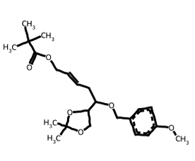 COc1ccc(COC(CC=CCOC(=O)C(C)(C)C)C2COC(C)(C)O2)cc1